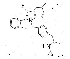 Cc1ccc2c(c1)c(F)c(-c1ccccc1C)n2Cc1ccc(CC(C)NC2CC2)cc1